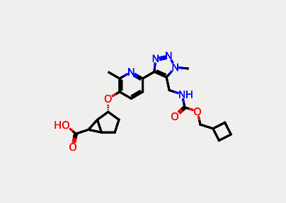 Cc1nc(-c2nnn(C)c2CNC(=O)OCC2CCC2)ccc1O[C@@H]1CCC2C(C(=O)O)C21